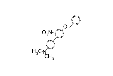 CN(C)c1ccc(-c2ccc(OCc3ccccc3)cc2[N+](=O)[O-])cc1